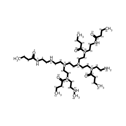 CCCC(=O)NCCNCCN(CCN(CCN(CCN)C(=O)CCC)CCN(CCNC(=O)CCC)C(=O)CCC)CCN(CCNC)C(=O)CCC